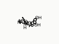 C#CCNC(=O)C(CCC1(C)N=N1)NC(=O)CCC(C)C1CCC2C3C(O)CC4CC(O)CCC4(C)C3CC(O)C12C